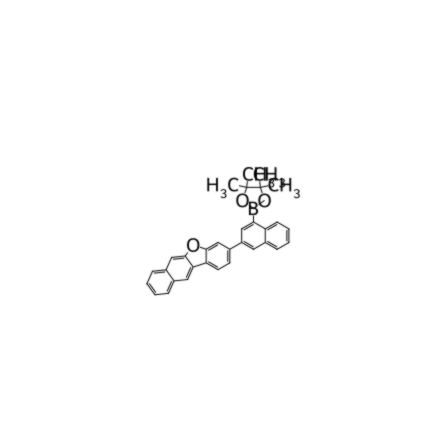 CC1(C)OB(c2cc(-c3ccc4c(c3)oc3cc5ccccc5cc34)cc3ccccc23)OC1(C)C